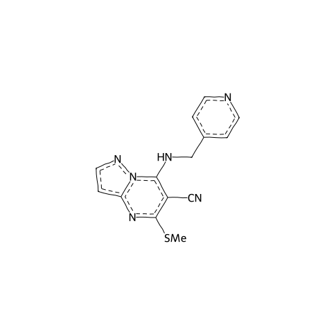 CSc1nc2ccnn2c(NCc2ccncc2)c1C#N